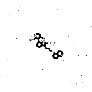 CCCc1nccc(C)c1-c1cccc2c(CCCOc3cccc4ccccc34)c(C(=O)O)[nH]c12